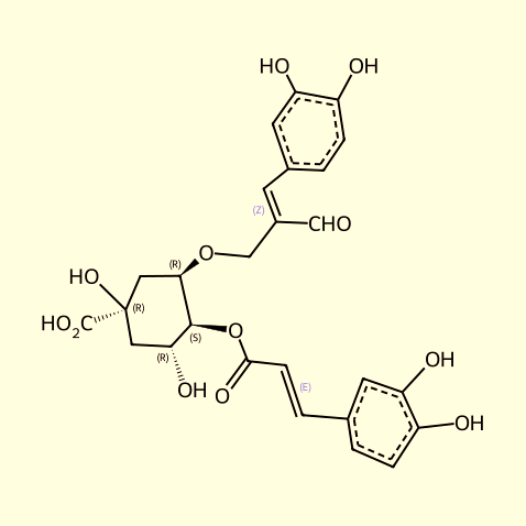 O=C/C(=C\c1ccc(O)c(O)c1)CO[C@@H]1C[C@@](O)(C(=O)O)C[C@@H](O)[C@@H]1OC(=O)/C=C/c1ccc(O)c(O)c1